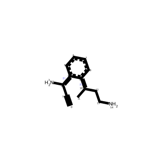 C#C/C(N)=c1/cccc/c1=C(/C)CCN